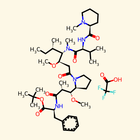 CC[C@H](C)[C@@H]([C@@H](CC(=O)N1CCC[C@H]1[C@H](OC)[C@@H](C)C(=O)N[C@@H](Cc1ccccc1)C(=O)OC(C)(C)C)OC)N(C)C(=O)[C@@H](NC(=O)[C@@H]1CCCCN1C)C(C)C.O=C(O)C(F)(F)F